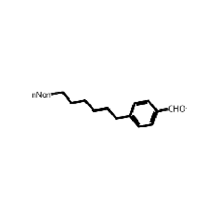 CCCCCCCCCCCCCCCc1ccc([C]=O)cc1